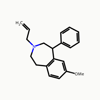 C=CCN1CCc2ccc(OC)cc2C(c2ccccc2)C1